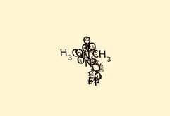 COC(=O)N(c1nc2cc(OC(F)(F)F)ccc2s1)c1oc(=O)oc1C